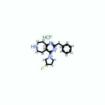 Cl.FC1CCN(c2nc(Cc3ccccc3)nc3c2CCNCC3)C1